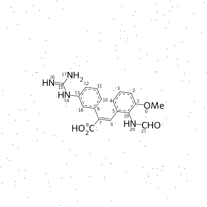 COc1cccc(C=C(C(=O)O)c2cccc(NC(=N)N)c2)c1NC=O